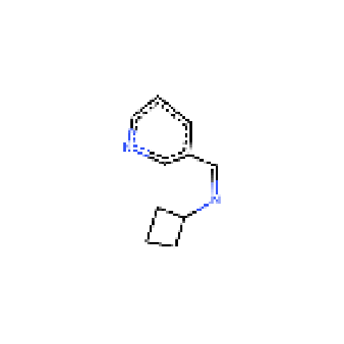 C(=N/C1CCC1)/c1cccnc1